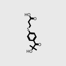 CC(C)(O)C(=O)c1ccc(SCCC(=O)O)cc1